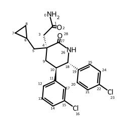 NC(=O)C[C@@]1(CC2CC2)C[C@H](c2cccc(Cl)c2)[C@@H](c2ccc(Cl)cc2)NC1=O